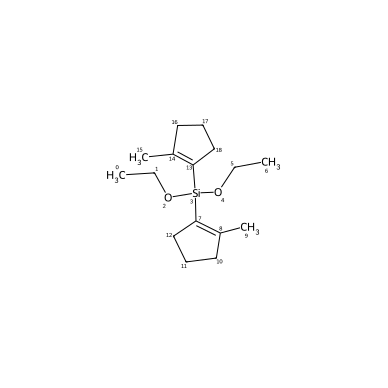 CCO[Si](OCC)(C1=C(C)CCC1)C1=C(C)CCC1